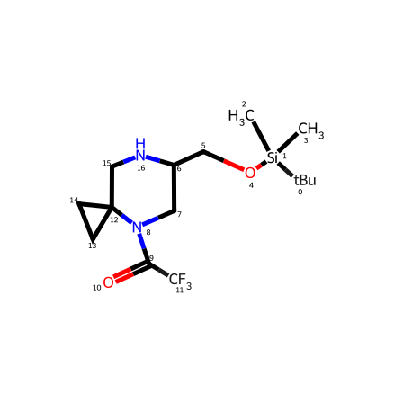 CC(C)(C)[Si](C)(C)OCC1CN(C(=O)C(F)(F)F)C2(CC2)CN1